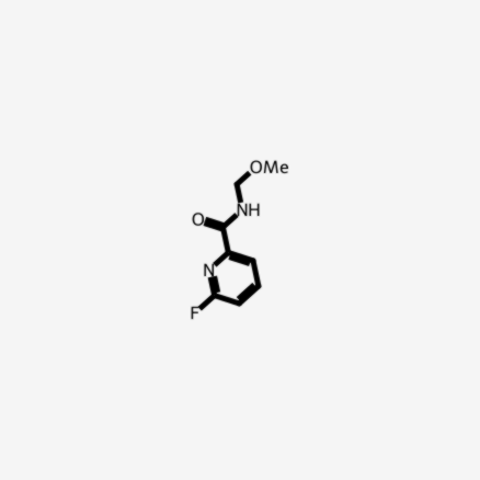 COCNC(=O)c1cccc(F)n1